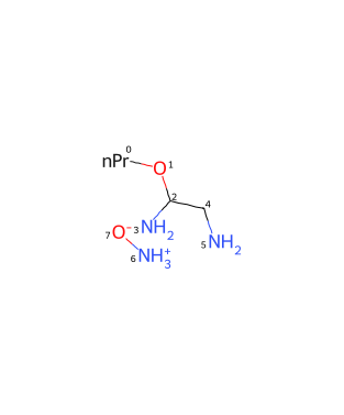 CCCOC(N)CN.[NH3+][O-]